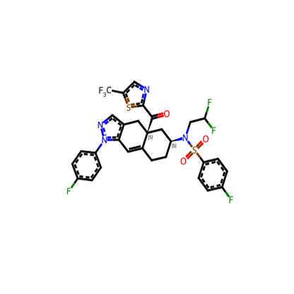 O=C(c1ncc(C(F)(F)F)s1)[C@]12Cc3cnn(-c4ccc(F)cc4)c3C=C1CC[C@H](N(CC(F)F)S(=O)(=O)c1ccc(F)cc1)C2